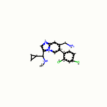 CCCNC(c1cnc2cc(CN)c(-c3ccc(Cl)cc3Cl)cn12)C1CC1